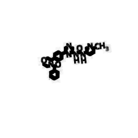 Cc1ccc(NC(=O)Nc2cncc(-c3ccc(C4COCCN4C(=O)c4ccccc4)cc3)n2)cn1